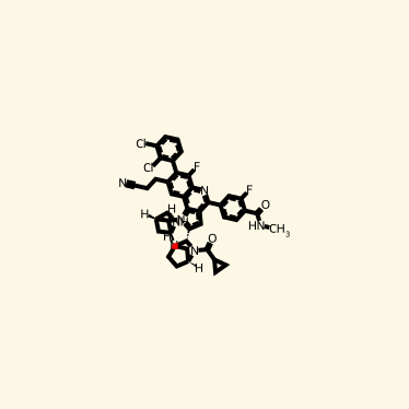 CNC(=O)c1ccc(-c2nc3c(F)c(-c4cccc(Cl)c4Cl)c(CCC#N)cc3c3c2cc([C@H]2[C@@H]4CC[C@@H](C4)N2C(=O)C2CC2)n3[C@H]2[C@H]3CN[C@@H]2C3)cc1F